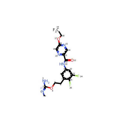 C/N=C(/N)OCCc1cc(NC(=O)c2cnc(OCC(F)(F)F)cn2)cc(F)c1F